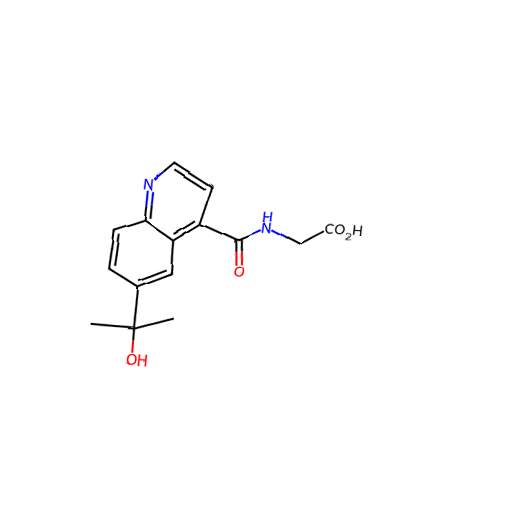 CC(C)(O)c1ccc2nccc(C(=O)NCC(=O)O)c2c1